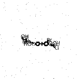 CC(C)(c1ccc(OC[C@H](O)CN2N=NC(CO)C2I)cc1)c1ccc(OC[C@@H](O)CCl)c(Br)c1